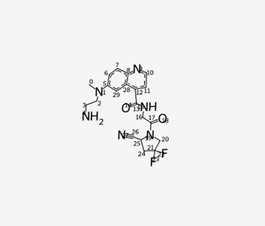 CN(CCN)c1ccc2nccc(C(=O)NCC(=O)N3CC(F)(F)CC3C#N)c2c1